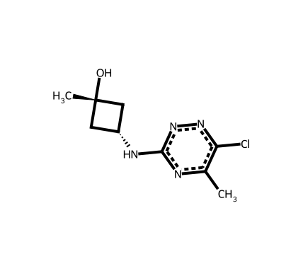 Cc1nc(N[C@H]2C[C@@](C)(O)C2)nnc1Cl